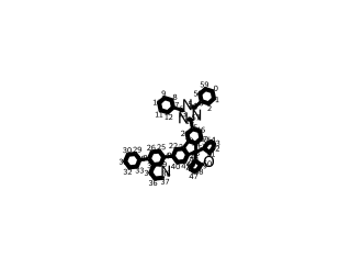 c1ccc(-c2nc(-c3ccccc3)nc(-c3ccc4c(c3)-c3cc(-c5ccc(-c6ccccc6)c6cccnc56)ccc3C43c4ccccc4Oc4ccccc43)n2)cc1